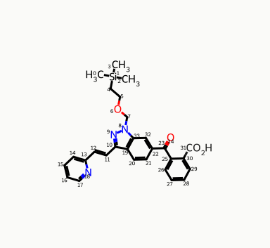 C[Si](C)(C)CCOCn1nc(/C=C/c2ccccn2)c2ccc(C(=O)c3ccccc3C(=O)O)cc21